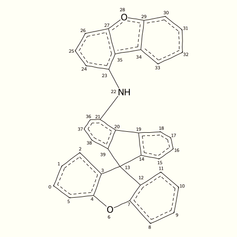 c1ccc2c(c1)Oc1ccccc1C21c2ccccc2-c2c(Nc3cccc4oc5ccccc5c34)cccc21